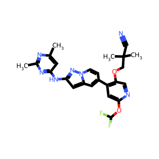 Cc1cc(Nc2cc3cc(-c4cc(OC(F)F)ncc4OCC(C)(C)C#N)ccn3n2)nc(C)n1